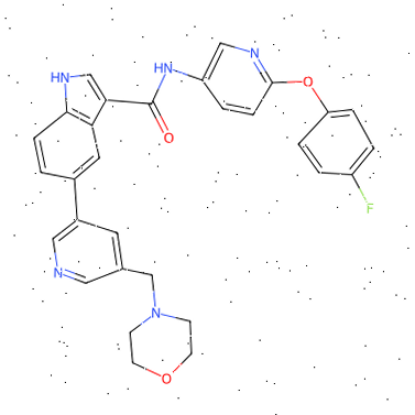 O=C(Nc1ccc(Oc2ccc(F)cc2)nc1)c1c[nH]c2ccc(-c3cncc(CN4CCOCC4)c3)cc12